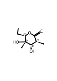 CC[C@H]1OC(=O)[C@@H](C)[C@@H](O)[C@]1(C)O